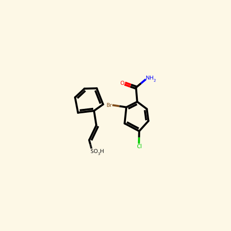 NC(=O)c1ccc(Cl)cc1Br.O=S(=O)(O)C=Cc1ccccc1